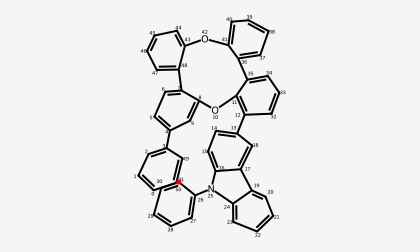 c1ccc(-c2ccc3c(c2)Oc2c(-c4ccc5c(c4)c4ccccc4n5-c4ccccc4)cccc2-c2ccccc2Oc2ccccc2-3)cc1